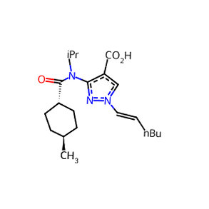 CCCCC=Cn1cc(C(=O)O)c(N(C(=O)[C@H]2CC[C@H](C)CC2)C(C)C)n1